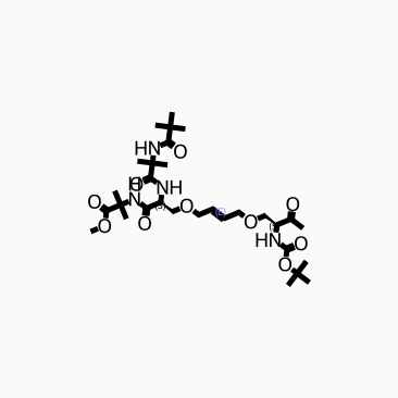 COC(=O)C(C)(C)NC(=O)[C@H](COC/C=C/COC[C@H](NC(=O)OC(C)(C)C)C(C)=O)NC(=O)C(C)(C)NC(=O)C(C)(C)C